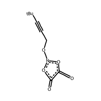 CC(C)(C)C#CCOn1oc(=O)c(=O)o1